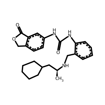 C[C@@H](CC1CCCCC1)NCc1ccccc1NC(=O)Nc1ccc2c(c1)C(=O)OC2